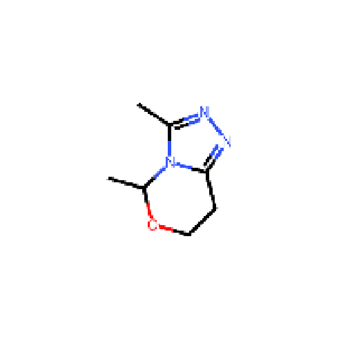 Cc1nnc2n1C(C)OCC2